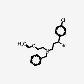 C=COCCN(CC[C@H](Br)c1ccc(Cl)cc1)Cc1ccccc1